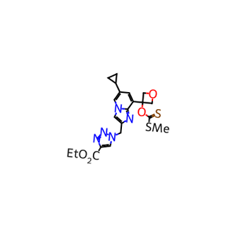 CCOC(=O)c1cn(Cc2cn3cc(C4CC4)cc(C4(OC(=S)SC)COC4)c3n2)nn1